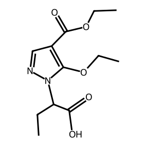 CCOC(=O)c1cnn(C(CC)C(=O)O)c1OCC